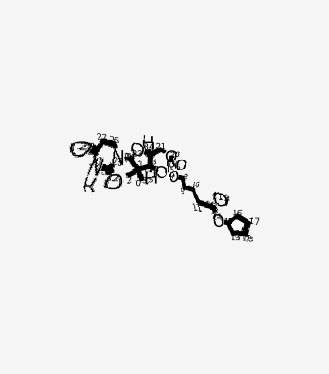 CC1(C)[C@@H]2O[P@@](=O)(OCCCCC(=O)OC3CCCC3)OC[C@H]2O[C@H]1n1ccc(=O)[nH]c1=O